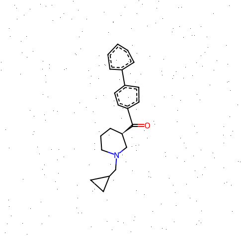 O=C(c1ccc(-c2ccccc2)cc1)[C@@H]1CCCN(CC2CC2)C1